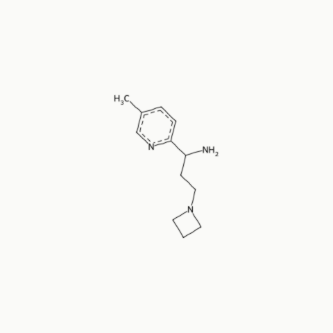 Cc1ccc(C(N)CCN2CCC2)nc1